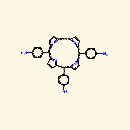 Nc1ccc(-c2c3nc(c(-c4ccc(N)cc4)c4ccc([nH]4)c(-c4ccc(N)cc4)c4nc(cc5ccc2[nH]5)C=C4)C=C3)cc1